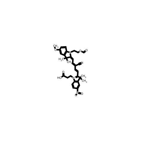 COc1ccc2c(c1)C(C)(C)\C(=C/C=C(C#N)/C=C/C1=[N+](CCC(=O)O)c3ccc([N+](=O)[O-])cc3C1(C)C)N2CCOC=O